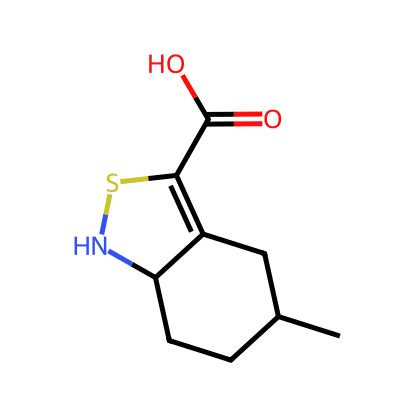 CC1CCC2NSC(C(=O)O)=C2C1